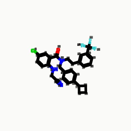 N#CCNc1ccc(Cl)cc1C(=O)N(CCc1cccc(C(F)(F)F)c1)Cc1ccc(C2CCC2)cc1